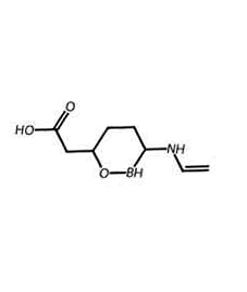 C=CNC1BOC(CC(=O)O)CC1